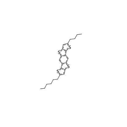 CCCCCCc1cc2sc3cc4c(cc3c2s1)sc1cc(CCCC)sc14